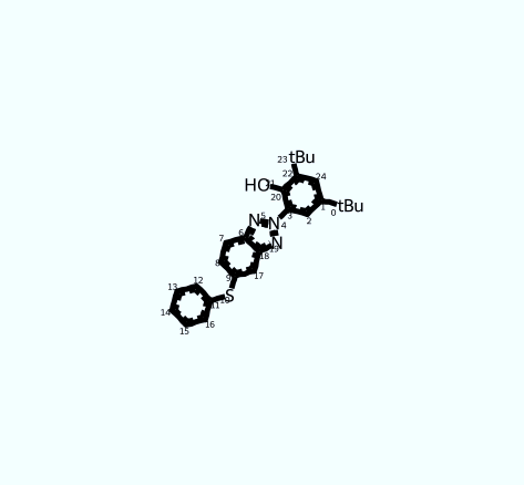 CC(C)(C)c1cc(-n2nc3ccc(Sc4ccccc4)cc3n2)c(O)c(C(C)(C)C)c1